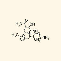 C=C(NCc1ccc(C)o1)/C(=N\SN)Nc1cccc(C(N)=O)c1O